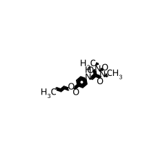 CCCCCOC(=O)c1ccc(NC=C2C(=O)N(CC)C(=O)N(CC)C2=O)cc1